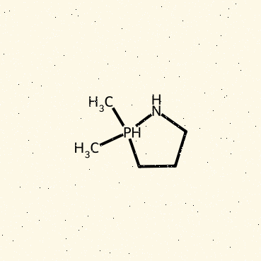 C[PH]1(C)CCCN1